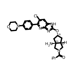 CC(C)C(=O)N1C[C@H]2C[C@@H](Oc3nc4nc(-c5ccc(N6CCOCC6)cc5)c(Cl)cc4[nH]3)C[C@@]2(N)C1